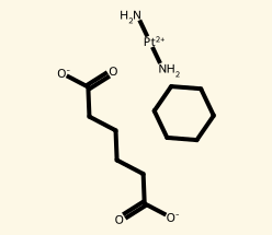 C1CCCCC1.O=C([O-])CCCCC(=O)[O-].[NH2][Pt+2][NH2]